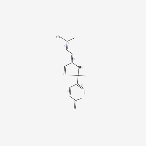 C=C/C(=C\C=C(/C)C(C)(C)C)NC(C)(C)C(/C=C\C(=C)C)=C/C